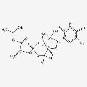 [2H]c1cn([C@@H]2O[C@H]3[C@@H](OP(=O)(N[C@@H](C)C(=O)OC(C)C)OC3([2H])[2H])[C@@]2(C)O)c(=O)[nH]c1=O